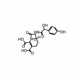 O=C(O)C1=C(C(=O)O)N2C(=O)C(NC(=O)C(O)c3ccc(O)cc3)[C@@H]2SC1